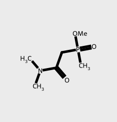 COP(C)(=O)CC(=O)N(C)C